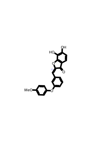 COc1ccc(Oc2cccc(/C=C3/Oc4c(ccc(O)c4O)C3=O)c2)cc1